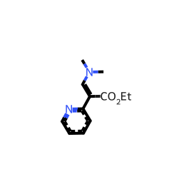 CCOC(=O)C(=CN(C)C)c1ccccn1